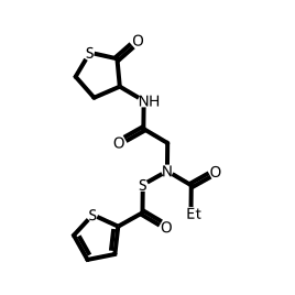 CCC(=O)N(CC(=O)NC1CCSC1=O)SC(=O)c1cccs1